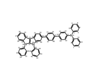 c1ccc(N(c2ccccc2)c2ccc(-c3ccc(-c4ccc5c6c7ccccc7n(-c7ccccc7)c6n(-c6ccccc6)c5c4)cc3)cc2)cc1